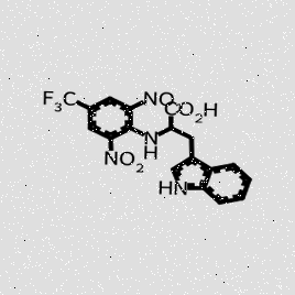 O=C(O)C(Cc1c[nH]c2ccccc12)Nc1c([N+](=O)[O-])cc(C(F)(F)F)cc1[N+](=O)[O-]